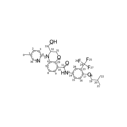 Cc1ccc(N2c3cccc(C(=O)Nc4ccc(OCC(C)C)c(C(F)(F)F)c4)c3OCC2CO)nc1